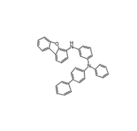 c1ccc(-c2ccc(N(c3ccccc3)c3cccc(Nc4cccc5c4oc4ccccc45)c3)cc2)cc1